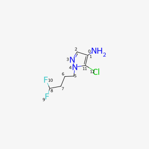 Nc1cnn(CCCC(F)F)c1Cl